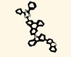 c1ccc(-c2nc(-c3ccccc3)nc(-c3ccc4c5ccc(-n6c7ccccc7c7cc(-c8ccc9sc%10ccccc%10c9c8)ccc76)cc5c5ccccc5c4c3)n2)cc1